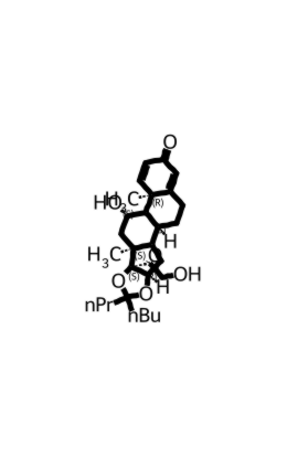 CCCCC1(CCC)O[C@@H]2CC3[C@@H]4CCC5=CC(=O)C=C[C@]5(C)C4[C@@H](O)C[C@]3(C)[C@]2(C(=O)CO)O1